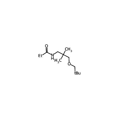 CCC(=O)NCC(C)(C)COCC(C)(C)C